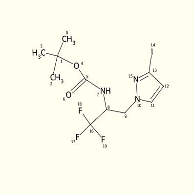 CC(C)(C)OC(=O)NC(Cn1ccc(I)n1)C(F)(F)F